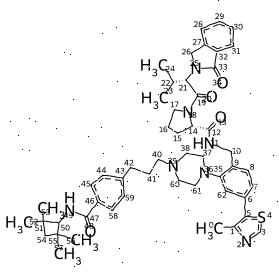 Cc1ncsc1-c1ccc(CNC(=O)[C@@H]2CCCN2C(=O)[C@H](C(C)C)N2Cc3ccccc3C2=O)c(N2CCN(CCCc3ccc(C(=O)NC4C(C)(C)CC4(C)C)cc3)CC2)c1